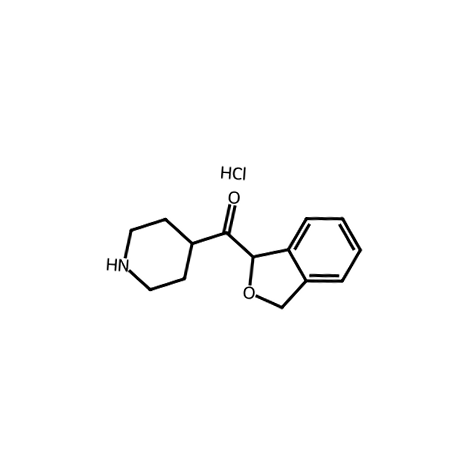 Cl.O=C(C1CCNCC1)C1OCc2ccccc21